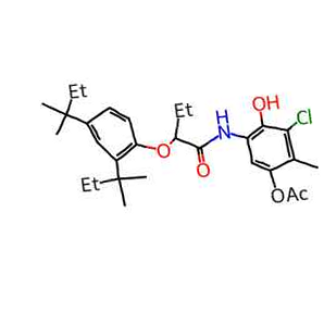 CCC(Oc1ccc(C(C)(C)CC)cc1C(C)(C)CC)C(=O)Nc1cc(OC(C)=O)c(C)c(Cl)c1O